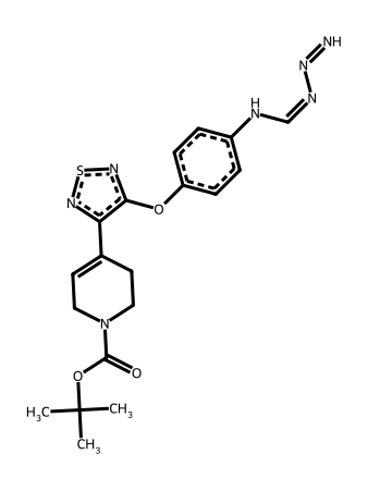 CC(C)(C)OC(=O)N1CC=C(c2nsnc2Oc2ccc(N/C=N\N=N)cc2)CC1